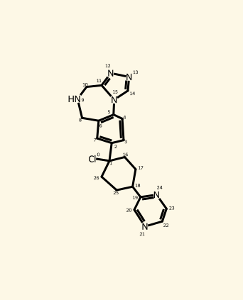 ClC1(c2ccc3c(c2)CNCc2nncn2-3)CCC(c2cnccn2)CC1